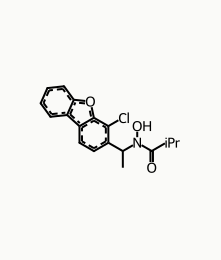 CC(C)C(=O)N(O)C(C)c1ccc2c(oc3ccccc32)c1Cl